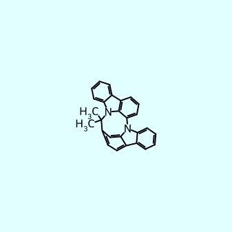 CC1(C)c2ccc3c4ccccc4n(c3c2)-c2cccc3c4ccccc4n1c23